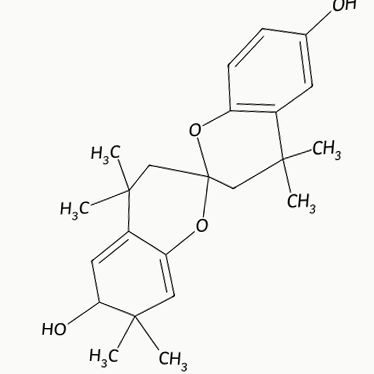 CC1(C)CC2(CC(C)(C)c3cc(O)ccc3O2)OC2=CC(C)(C)C(O)C=C21